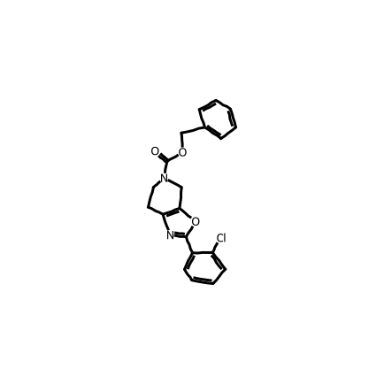 O=C(OCc1ccccc1)N1CCc2nc(-c3ccccc3Cl)oc2C1